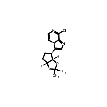 CC1(C)O[C@@H]2[C@@H](CC[C@H]2c2cnc3c(Cl)nccn23)O1